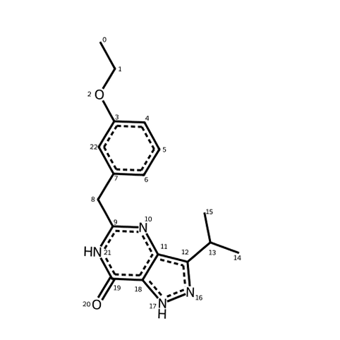 CCOc1cccc(Cc2nc3c(C(C)C)n[nH]c3c(=O)[nH]2)c1